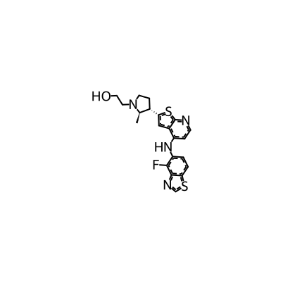 C[C@@H]1[C@@H](c2cc3c(Nc4ccc5scnc5c4F)ccnc3s2)CCN1CCO